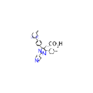 C=C/C=C(\C=C/C)c1ccc(-c2nc(-c3ccncc3)nc(-c3ccc(C)cc3)c2CCC(=O)O)cc1